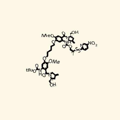 C=C1C[C@@H](CO)N(C(=O)c2cc(OC)c(OCCCCCOc3cc(NC(=O)OC(C)(C)C)c(C(=O)N4CC(=C)C[C@H]4CO)cc3OC)cc2NC(=O)OC[C@@H](C)SSc2ccc([N+](=O)[O-])cn2)C1